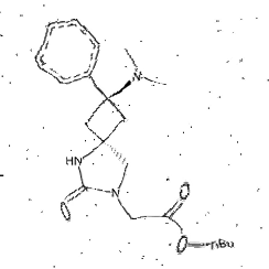 CCCCOC(=O)CN1C[C@]2(C[C@](c3ccccc3)(N(C)C)C2)NC1=O